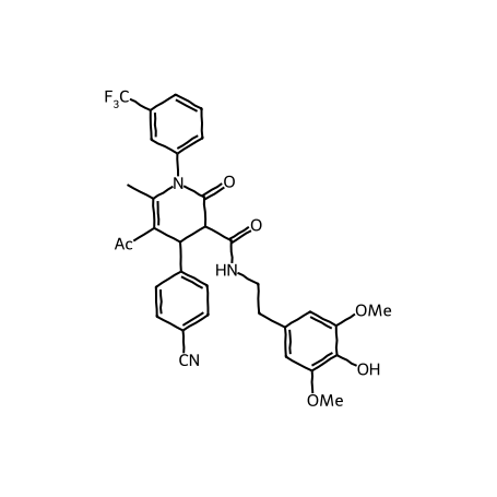 COc1cc(CCNC(=O)C2C(=O)N(c3cccc(C(F)(F)F)c3)C(C)=C(C(C)=O)C2c2ccc(C#N)cc2)cc(OC)c1O